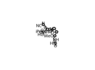 COc1cc(-c2cccc(-c3cccc4c3cnn4Cc3cc(OCc4cncc(C#N)c4)c(CN[C@@H](CO)C(=O)OC(C)C)cc3Cl)c2Cl)ccc1CNC[C@@H]1CCC(=O)N1